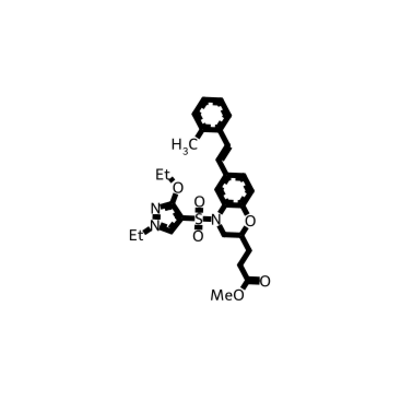 CCOc1nn(CC)cc1S(=O)(=O)N1CC(CCC(=O)OC)Oc2ccc(C=Cc3ccccc3C)cc21